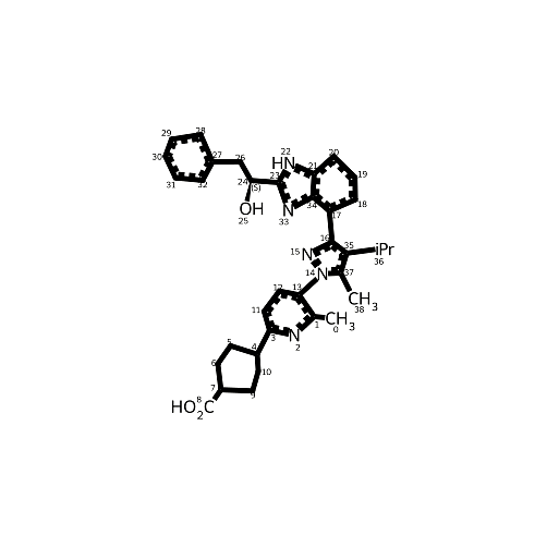 Cc1nc(C2CCC(C(=O)O)CC2)ccc1-n1nc(-c2cccc3[nH]c([C@@H](O)Cc4ccccc4)nc23)c(C(C)C)c1C